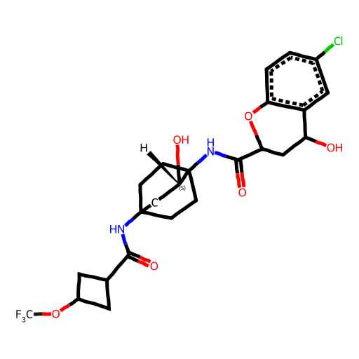 O=C(NC12CCC(NC(=O)C3CC(O)c4cc(Cl)ccc4O3)(CC1)[C@@H](O)C2)C1CC(OC(F)(F)F)C1